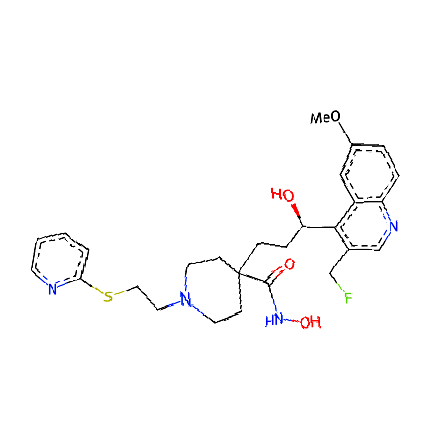 COc1ccc2ncc(CF)c([C@H](O)CCC3(C(=O)NO)CCN(CCSc4ccccn4)CC3)c2c1